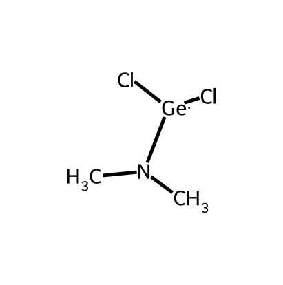 C[N](C)[Ge]([Cl])[Cl]